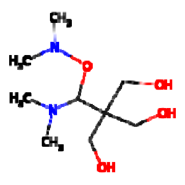 CN(C)OC(N(C)C)C(CO)(CO)CO